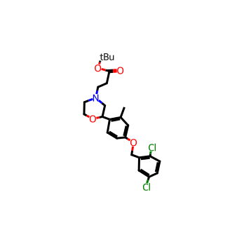 Cc1cc(OCc2cc(Cl)ccc2Cl)ccc1C1CN(CCC(=O)OC(C)(C)C)CCO1